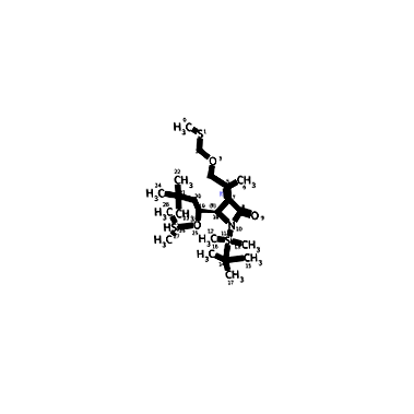 CSCOC/C(C)=C1/C(=O)N([Si](C)(C)C(C)(C)C)[C@H]1C(CC(C)(C)C)O[SiH](C)C